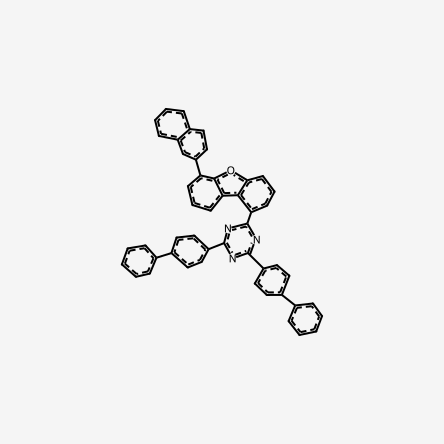 c1ccc(-c2ccc(-c3nc(-c4ccc(-c5ccccc5)cc4)nc(-c4cccc5oc6c(-c7ccc8ccccc8c7)cccc6c45)n3)cc2)cc1